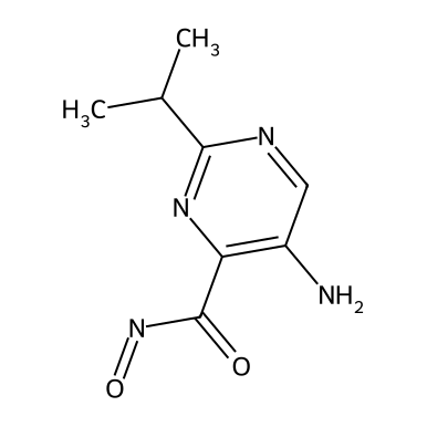 CC(C)c1ncc(N)c(C(=O)N=O)n1